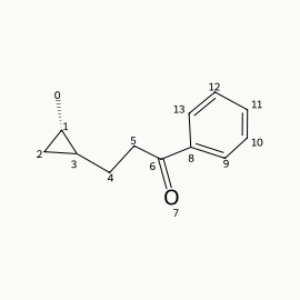 C[C@H]1CC1CCC(=O)c1ccccc1